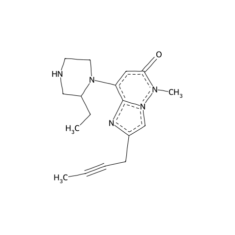 CC#CCc1cn2c(n1)c(N1CCNCC1CC)cc(=O)n2C